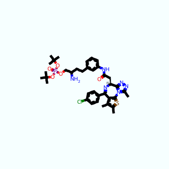 Cc1sc2c(c1C)C(c1ccc(Cl)cc1)=N[C@@H](CC(=O)Nc1cccc(CCC(N)COP(=O)(OC(C)(C)C)OC(C)(C)C)c1)c1nnc(C)n1-2